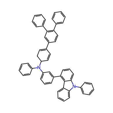 C1=CC(N(c2ccccc2)c2cccc(-c3cccc4c3c3ccccc3n4-c3ccccc3)c2)CC=C1c1ccc(-c2ccccc2)c(-c2ccccc2)c1